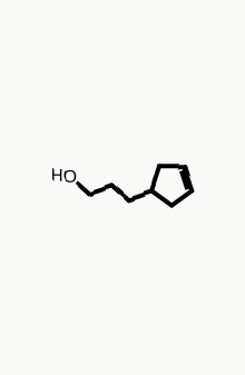 OCCCC1CC=CC1